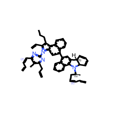 C=C/C=C\C[C@H](C)N1c2c(cc(-c3cc4c(c(CCC)c(C=C)n4-c4nc(/C=C\C=C)c(C)c(CC=C)n4)c4ccccc34)c3ccccc23)[C@@H]2C=CC=CC21